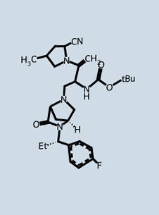 C=C(C(CN1C[C@@H]2CC1C(=O)N2[C@@H](CC)c1ccc(F)cc1)NC(=O)OC(C)(C)C)N1CC(C)CC1C#N